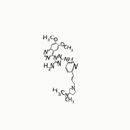 COc1cc2ncnc(-n3nc(Nc4ccc(C=CCN5CCC(N(C)C)C5)nc4)nc3N)c2cc1OC